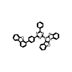 c1ccc(-c2nc(-c3ccc(-c4cccc5c4oc4ccccc45)cc3)nc(-n3c4c5ccccc5oc4n4c5ccccc5nc34)n2)cc1